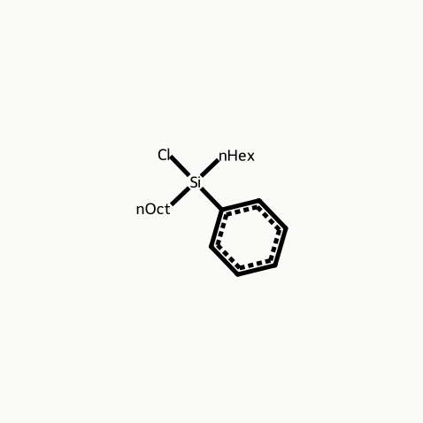 CCCCCCCC[Si](Cl)(CCCCCC)c1ccccc1